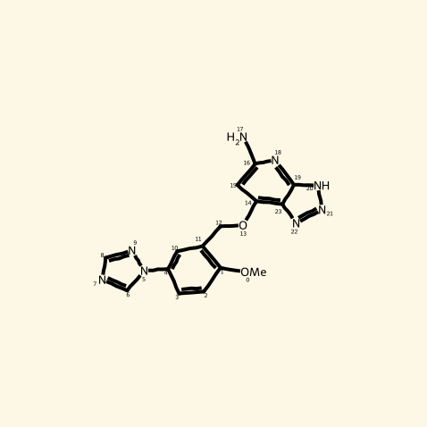 COc1ccc(-n2cncn2)cc1COc1cc(N)nc2[nH]nnc12